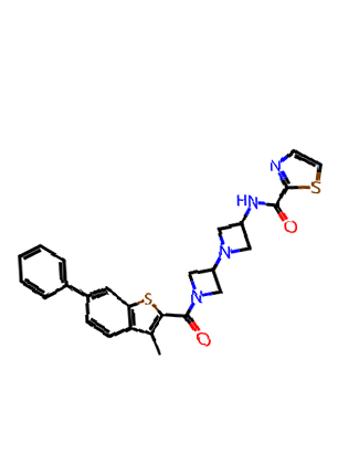 Cc1c(C(=O)N2CC(N3CC(NC(=O)c4nccs4)C3)C2)sc2cc(-c3ccccc3)ccc12